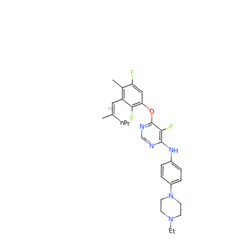 CCC/C(C)=C\c1c(C)c(F)cc(Oc2ncnc(Nc3ccc(N4CCN(CC)CC4)cc3)c2F)c1F